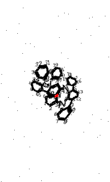 c1ccc(-n2c3ccccc3c3ccc4c5ccccc5n(-c5ccc6c(c5)[Si](c5ccccc5)(c5ccccc5)c5ccccc5-6)c4c32)cc1